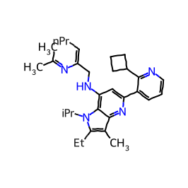 CCC/C=C(/CNc1cc(-c2cccnc2C2CCC2)nc2c(C)c(CC)n(C(C)C)c12)N=C(C)C